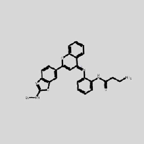 CCNc1nc2ccc(-c3c/c(=N\c4ccccc4NC(=O)CCN)c4ccccc4o3)cc2o1